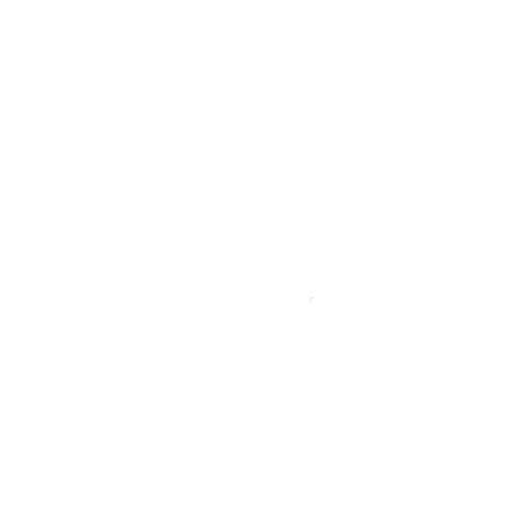 CCCCCCCCCCCCOCCOCCOCCCC(=O)OCC(CC)CCCC